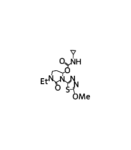 CCN1CCC(OC(=O)NC2CC2)N(c2nnc(OC)s2)C1=O